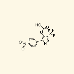 O=C(O)Oc1c(-c2ccc([N+](=O)[O-])cc2)nsc1C(F)(F)F